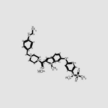 CN(c1ccc(Oc2ccc3cc(C(=O)N4CCN(Cc5ccc(OCC(F)(F)F)cc5)CC4)n(C)c3c2)nc1)S(C)(=O)=O.Cl